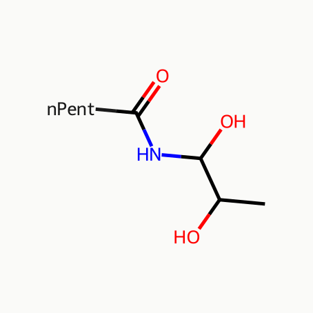 CCCCCC(=O)NC(O)C(C)O